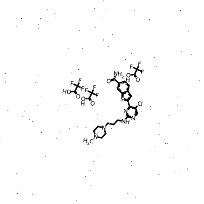 CN1CCN(CCCNc2ncc(Cl)c(-c3cc4ccc(C(N)=O)cc4s3)n2)CC1.O=C(O)C(F)(F)F.O=C(O)C(F)(F)F.O=C(O)C(F)(F)F